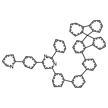 c1ccc(-c2nc(-c3ccc(-c4ccccn4)cc3)cc(-c3cccc(-c4cccc(-c5cccc(-c6cccc7c6-c6ccccc6C76c7ccccc7-c7ccccc76)c5)c4)c3)n2)cc1